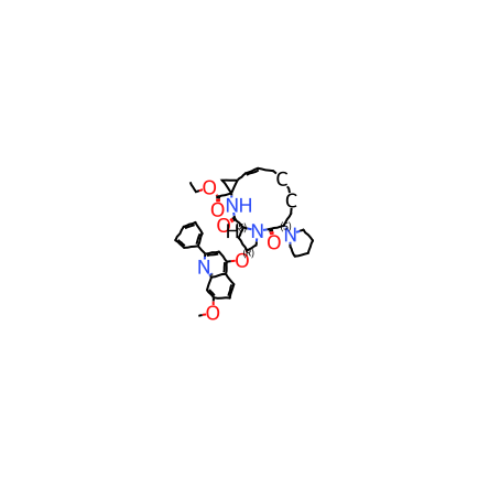 CCOC(=O)C12CC1C=CCCCCC[C@H](N1CCCCC1)C(=O)N1C[C@H](Oc3cc(-c4ccccc4)nc4cc(OC)ccc34)C[C@H]1C(=O)N2